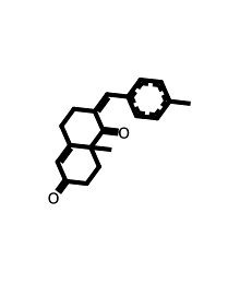 Cc1ccc(/C=C2/CCC3=CC(=O)CCC3(C)C2=O)cc1